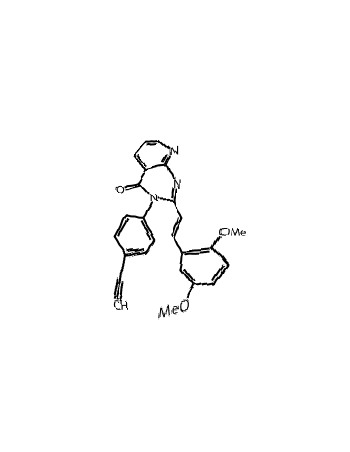 C#Cc1ccc(-n2c(C=Cc3cc(OC)ccc3OC)nc3ncccc3c2=O)cc1